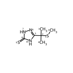 CSC(C)(C)c1n[nH]c(=S)[nH]1